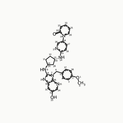 COc1ccc(Cn2c(N[C@H]3CC[C@H](Nc4ccc(-n5ccccc5=O)cn4)C3)nc3cc(O)cnc32)cc1